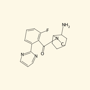 NC1CC2CCC1N(C(=O)c1c(F)cccc1-c1ncccn1)C2